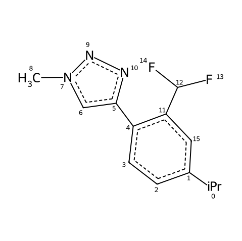 CC(C)c1ccc(-c2cn(C)nn2)c(C(F)F)c1